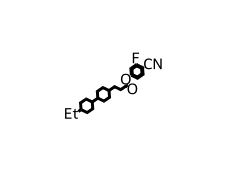 CCC1CCC(C2CCC(CCC(=O)Oc3ccc(C#N)c(F)c3)CC2)CC1